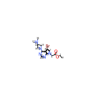 CCOC(=O)Cn1cc(Br)c2c(N3CC(N(C)C)C3)ncnc21